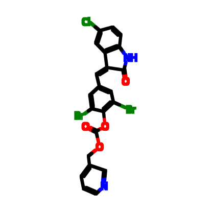 O=C(OCc1cccnc1)Oc1c(Br)cc(/C=C2\C(=O)Nc3ccc(Cl)cc32)cc1Br